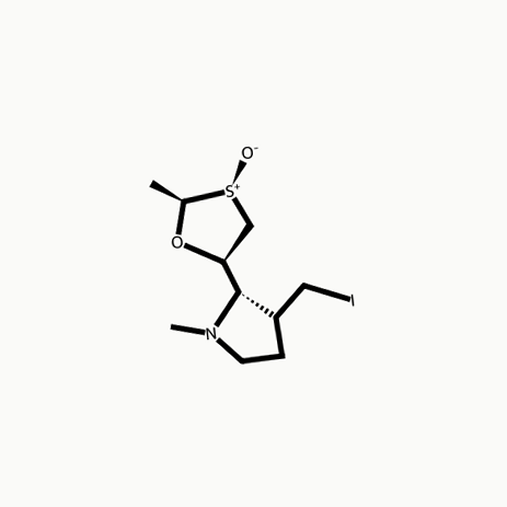 C[C@@H]1O[C@H]([C@@H]2C(CI)CCN2C)C[S@+]1[O-]